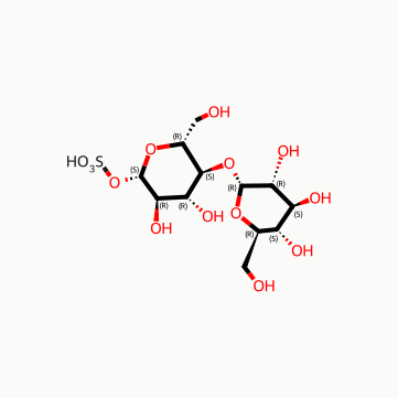 O=S(=O)(O)O[C@@H]1O[C@H](CO)[C@@H](O[C@H]2O[C@H](CO)[C@@H](O)[C@H](O)[C@H]2O)[C@H](O)[C@H]1O